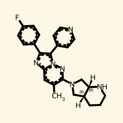 Cc1cc2nc(-c3ccc(F)cc3)c(-c3ccncc3)n2nc1N1C[C@H]2CCCN[C@H]2C1